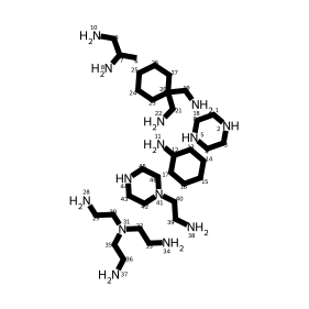 C1CNCCN1.CC(N)CN.NC1CCCCC1.NCC1(CN)CCCCC1.NCCN(CCN)CCN.NCCN1CCNCC1